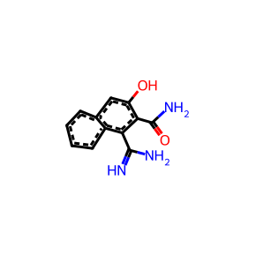 N=C(N)c1c(C(N)=O)c(O)cc2ccccc12